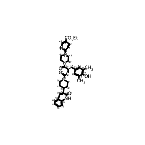 CCOC(=O)c1ccc(N2CCN(C(=O)[C@@H](Cc3cc(C)c(O)c(C)c3)OC(=O)N3CCC(c4cc5ccccc5[nH]c4=O)CC3)CC2)nc1